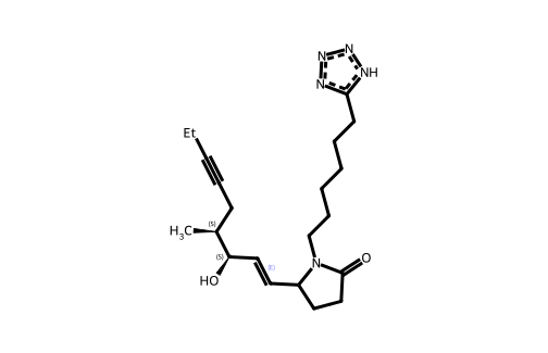 CCC#CC[C@H](C)[C@H](O)/C=C/C1CCC(=O)N1CCCCCCc1nnn[nH]1